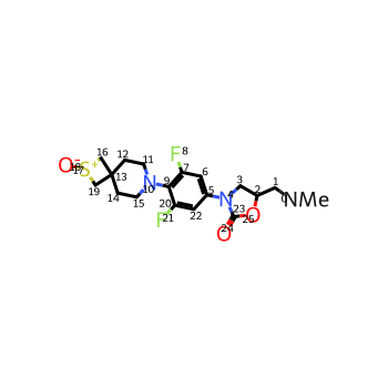 CNCC1CN(c2cc(F)c(N3CCC4(CC3)C[S+]([O-])C4)c(F)c2)C(=O)O1